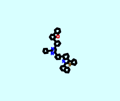 c1ccc(-c2nc(-c3cccc(-c4cccc5c4nc(-c4cccc6ccccc46)c4sc6ccccc6c45)c3)cc(-c3cccc(-c4cccc5c4oc4ccccc45)c3)n2)cc1